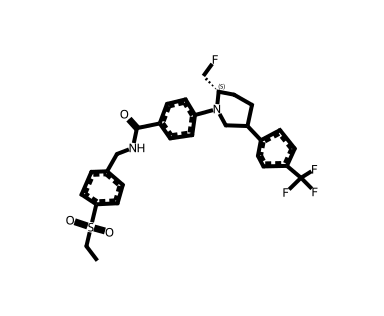 CCS(=O)(=O)c1ccc(CNC(=O)c2ccc(N3CC(c4ccc(C(F)(F)F)cc4)CC[C@H]3CF)cc2)cc1